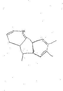 CC1=CC2C3=[SH]C=CCC3C(C)C2C=C1C